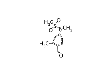 Cc1cc(N(C)S(C)(=O)=O)ccc1C=O